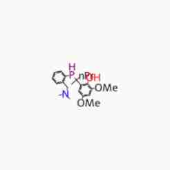 CCCC(C)(Pc1ccccc1CN(C)C)c1cc(OC)cc(OC)c1O